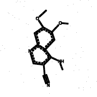 CNc1c(C#N)cnc2cc(OC)c(OC)cc12